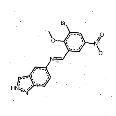 COc1c(Br)cc([N+](=O)[O-])cc1/C=N/c1ccc2n[nH]cc2c1